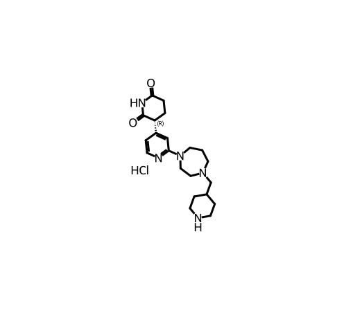 Cl.O=C1CC[C@H](c2ccnc(N3CCCN(CC4CCNCC4)CC3)c2)C(=O)N1